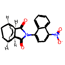 O=C1[C@@H]2[C@H]3CCC[C@H](CC3)[C@@H]2C(=O)N1c1ccc([N+](=O)[O-])c2ccccc12